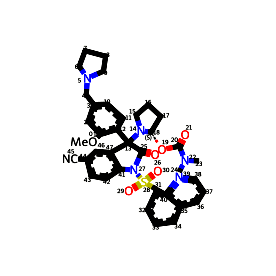 COc1cc(CN2CCCC2)ccc1C1(N2CCC[C@@H]2OC(=O)N(C)C)C(=O)N(S(=O)(=O)c2cccc3cccnc23)c2ccc(C#N)cc21